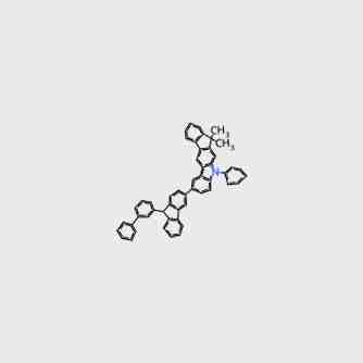 CC1(C)c2ccccc2-c2cc3c4cc(-c5ccc6c(c5)-c5ccccc5C6c5cccc(-c6ccccc6)c5)ccc4n(-c4ccccc4)c3cc21